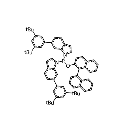 CC(C)(C)c1cc(-c2ccc3ccn(P(Oc4ccc5ccccc5c4-c4cccc5ccccc45)n4ccc5ccc(-c6cc(C(C)(C)C)cc(C(C)(C)C)c6)cc54)c3c2)cc(C(C)(C)C)c1